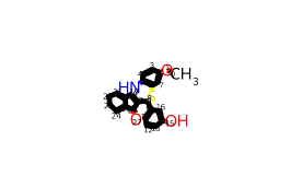 COc1ccc2c(c1)SC(c1cccc(O)c1)C1=C(N2)C2=CCCC=C2C1=O